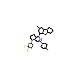 Cc1ccc(-c2cc3c(C4CCC(F)(F)C4)cccc3c(-c3cc(C)cc4c3Cc3ccccc3-4)n2)cc1